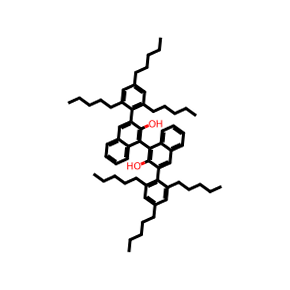 CCCCCc1cc(CCCCC)c(-c2cc3ccccc3c(-c3c(O)c(-c4c(CCCCC)cc(CCCCC)cc4CCCCC)cc4ccccc34)c2O)c(CCCCC)c1